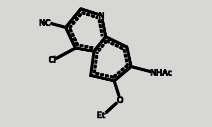 CCOc1cc2c(Cl)c(C#N)cnc2cc1NC(C)=O